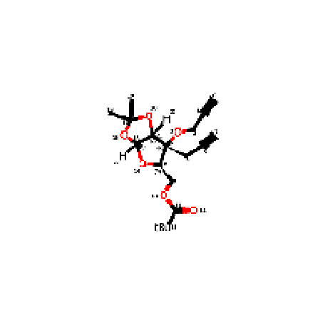 C#CCO[C@]1(CC#C)[C@@H](COC(=O)C(C)(C)C)O[C@@H]2OC(C)(C)O[C@@H]21